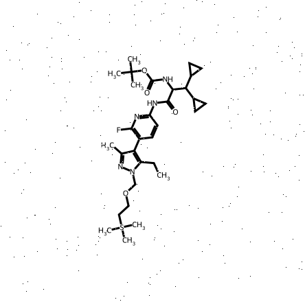 CCc1c(-c2ccc(NC(=O)C(NC(=O)OC(C)(C)C)C(C3CC3)C3CC3)nc2F)c(C)nn1COCCS(C)(C)C